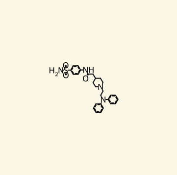 NS(=O)(=O)c1ccc(NC(=O)CC2CCN(CCN(c3ccccc3)c3ccccc3)CC2)cc1